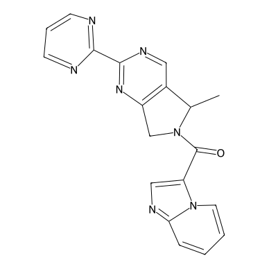 CC1c2cnc(-c3ncccn3)nc2CN1C(=O)c1cnc2ccccn12